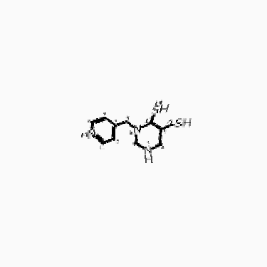 SC1CNCN(Cc2ccncc2)C1S